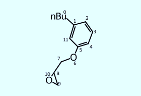 CCCCc1cccc(OCC2CO2)c1